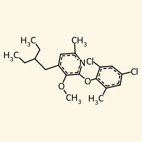 CCC(CC)Cc1cc(C)nc(Oc2c(C)cc(Cl)cc2Cl)c1OC